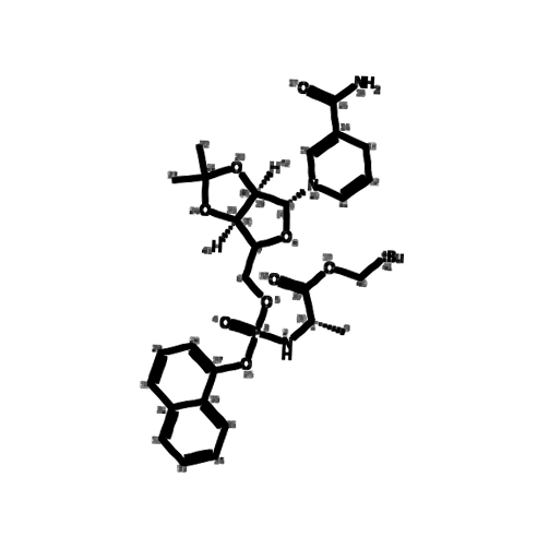 C[C@H](NP(=O)(OCC1O[C@@H](N2C=CCC(C(N)=O)=C2)[C@@H]2OC(C)(C)O[C@H]12)Oc1cccc2ccccc12)C(=O)OCC(C)(C)C